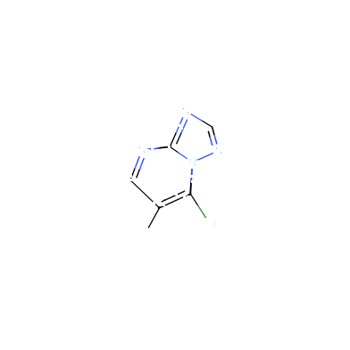 Cc1cnc2ncnn2c1Cl